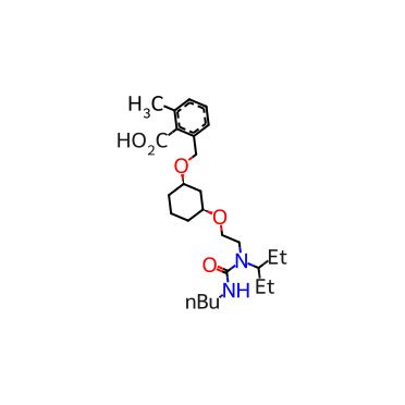 CCCCNC(=O)N(CCO[C@H]1CCC[C@@H](OCc2cccc(C)c2C(=O)O)C1)C(CC)CC